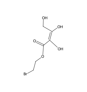 O=C(OCCBr)/C(O)=C(/O)CO